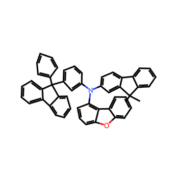 CC1(C)c2ccccc2-c2ccc(N(c3cccc(C4(c5ccccc5)c5ccccc5-c5ccccc54)c3)c3cccc4oc5ccccc5c34)cc21